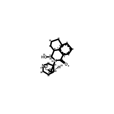 O=C1c2cccc3c2C(CCC3)[C@H](O)N1[C@@H]1CN2CCC1CC2